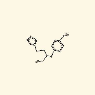 CCCCCC(CCn1ccnc1)Sc1ccc(C(C)(C)C)cc1